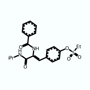 CCS(=O)(=O)Oc1ccc(C=C(NC(=O)c2ccccc2)C(=O)NC(C)C)cc1